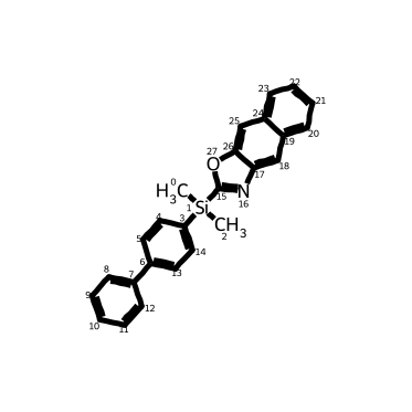 C[Si](C)(c1ccc(-c2ccccc2)cc1)c1nc2cc3ccccc3cc2o1